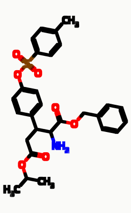 Cc1ccc(S(=O)(=O)Oc2ccc(C(CC(=O)OC(C)C)C(N)C(=O)OCc3ccccc3)cc2)cc1